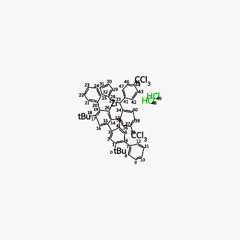 CC(C)(C)c1cc2c(cc1-c1ccccc1)Cc1c-2cc(C(C)(C)C)c(-c2ccccc2)[c]1[Zr]([C]1=CC=CC1)=[C](c1ccc(C(Cl)(Cl)Cl)cc1)c1ccc(C(Cl)(Cl)Cl)cc1.Cl.Cl